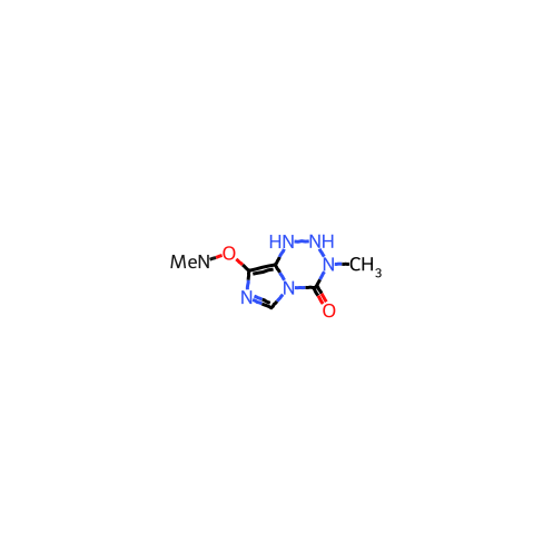 CNOc1ncn2c1NNN(C)C2=O